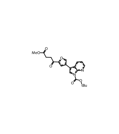 COC(=O)CCC(=O)c1cc(-c2cn(C(=O)OC(C)(C)C)c3ncccc23)co1